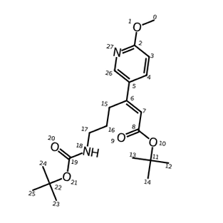 COc1ccc(C(=CC(=O)OC(C)(C)C)CCCNC(=O)OC(C)(C)C)cn1